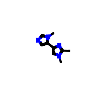 Cc1nc(-c2cncn2C)cn1C